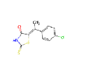 CC(=C1SC(=S)NC1=O)c1ccc(Cl)cc1